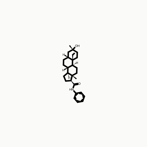 CC[C@]12CC[C@@](C)(O)C[C@H]1CC[C@H]1[C@@H]3CC[C@H](C(=O)Nc4ccccc4)[C@@]3(C)CC[C@@H]12